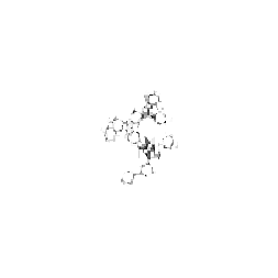 c1ccc(-c2cccc(-c3nc(-c4ccccc4)nc(-c4ccc(-c5c(-c6ccc(-n7c8ccccc8c8ccccc87)cc6)ccc6ccccc56)cc4)n3)c2)cc1